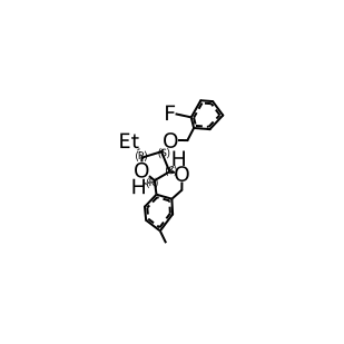 CC[C@H]1O[C@@H]2c3ccc(C)cc3CO[C@@H]2[C@H]1OCc1ccccc1F